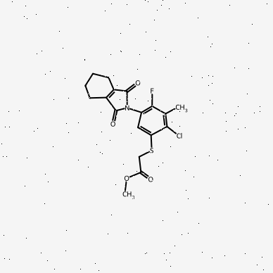 COC(=O)CSc1cc(N2C(=O)C3=C(CCCC3)C2=O)c(F)c(C)c1Cl